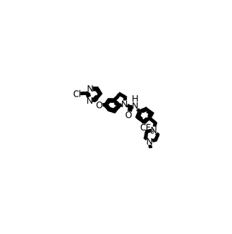 CN1CCN(Cc2ccc(NC(=O)N3CCc4cc(Oc5ccnc(Cl)n5)ccc43)cc2C(F)(F)F)CC1